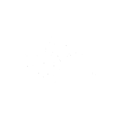 CCOC1CCN(c2ccc(C(F)(F)F)cc2NS(=O)(=O)c2cc(C(=O)OC)ccc2OC)CC1